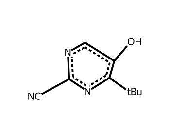 CC(C)(C)c1nc(C#N)ncc1O